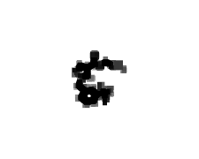 CCOC(=O)c1cnn(Cc2cccc(C(F)(F)F)c2)c1